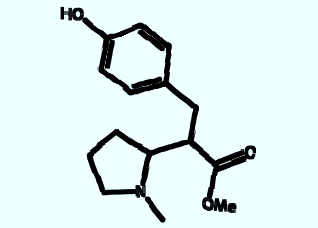 COC(=O)C(Cc1ccc(O)cc1)C1CCCN1C